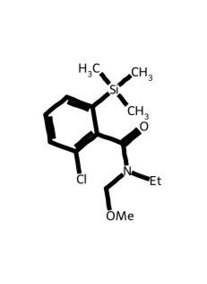 CCN(COC)C(=O)c1c(Cl)cccc1[Si](C)(C)C